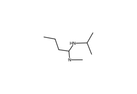 CCCC([N]C)NC(C)C